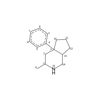 CC1CC2(c3ccccc3)CCCC2CN1